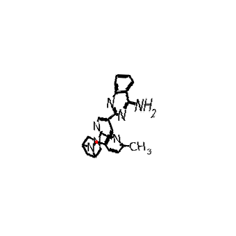 Cc1ccc(CN2C3CC2CN(c2ccc(-c4nc(N)c5ccccc5n4)cn2)C3)cn1